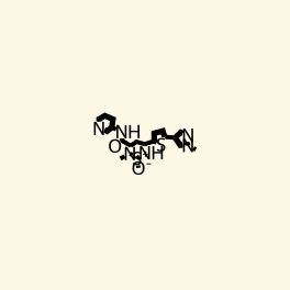 CN1C(C(=O)Nc2cccnc2)CC(c2ccc(-c3cnn(C)c3)s2)N[S+]1[O-]